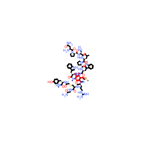 CCCC[C@@H](C(=O)N(C)[C@@H](CCSC)C(=O)N[C@@H](CCCNC(=N)N)C(=O)NC(CSCC(=O)N[C@@H](Cc1ccc(O)cc1)C(=O)NC)C(=O)NCC(N)=O)N(C)C(=O)[C@H](Cc1c[nH]c2ccccc12)NC(=O)[C@H](CO)NC(=O)[C@H](Cc1c[nH]c2ccccc12)NC(=O)[C@@H]1CCCN1C(=O)[C@H](CC(C)C)NC(=O)[C@H](CN)NC(=O)[C@@H]1CCCN1C(=O)[C@@H](N)CC(N)=O